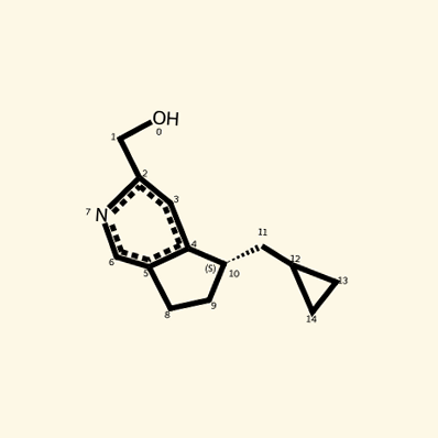 OCc1cc2c(cn1)CC[C@H]2CC1CC1